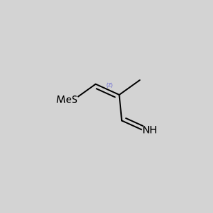 CS/C=C(/C)C=N